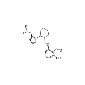 O=Cc1c(O)cccc1OCC1CCCCC1c1ccnn1CC(F)F